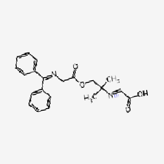 CC(C)(COC(=O)CN=C(c1ccccc1)c1ccccc1)/N=C/C(=O)O